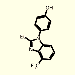 CCc1nc2c(C(F)(F)F)cccc2n1-c1ccc(O)cc1